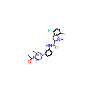 CC(=O)N1[C@@H](C)CN(c2cccc(NC(=O)C3Cc4c(F)ccc(C)c4N3)c2)C[C@@H]1C